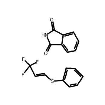 FC(F)(F)C=CSc1ccccc1.O=C1NC(=O)c2ccccc21